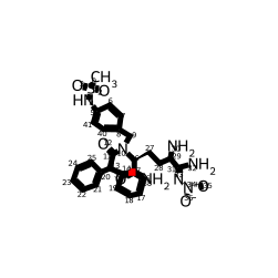 CS(=O)(=O)Nc1ccc(CN(C(=O)C(c2ccccc2)c2ccccc2)[C@@H](CCC(N)C(N)=N[N+](=O)[O-])C(N)=O)cc1